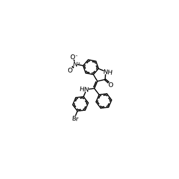 O=C1Nc2ccc([N+](=O)[O-])cc2C1=C(Nc1ccc(Br)cc1)c1ccccc1